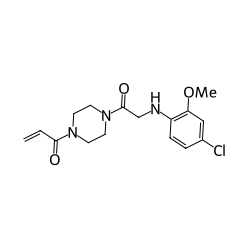 C=CC(=O)N1CCN(C(=O)CNc2ccc(Cl)cc2OC)CC1